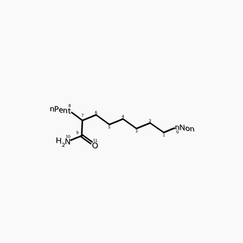 CCCCCCCCCCCCCCCC(CCCCC)C(N)=O